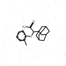 Cc1ccccc1OC(C(N)=O)C12CC3CC(CC(C3)C1)C2